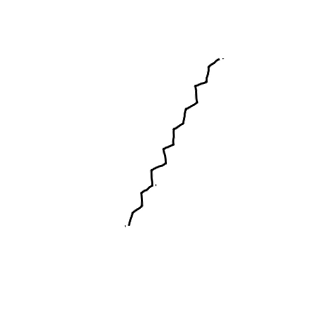 [CH2]CCC[CH]CCCCCCCCCCC[CH2]